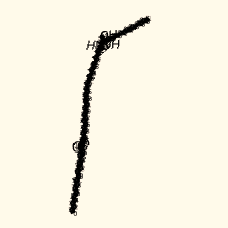 CCCCCCCCCCCCCC=CC=CC(=O)OCCCCCCCCCCCCCCCCCCCCCCCCCCCCCC(=O)N[C@@H](CO)[C@H](O)CCCCCCCCCCCCCCC